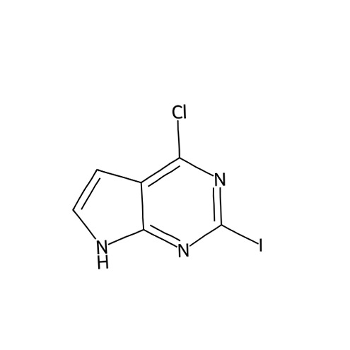 Clc1nc(I)nc2[nH]ccc12